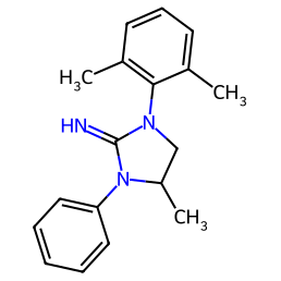 Cc1cccc(C)c1N1CC(C)N(c2ccccc2)C1=N